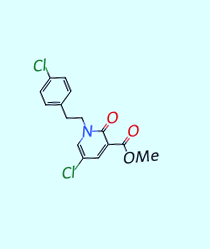 COC(=O)c1cc(Cl)cn(CCc2ccc(Cl)cc2)c1=O